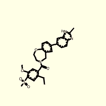 CCc1cc(S(C)(=O)=O)c(OC)cc1C(=O)N1CCOc2ccc(-c3ccc4nc(C)[nH]c4c3)cc2C1